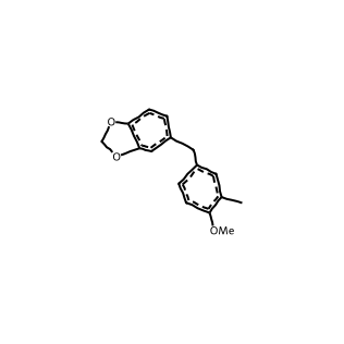 COc1ccc(Cc2ccc3c(c2)OCO3)cc1C